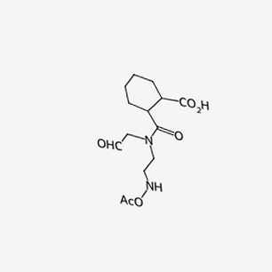 CC(=O)ONCCN(CC=O)C(=O)C1CCCCC1C(=O)O